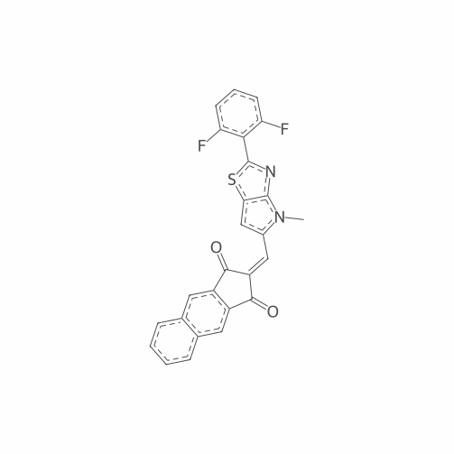 Cn1c(C=C2C(=O)c3cc4ccccc4cc3C2=O)cc2sc(-c3c(F)cccc3F)nc21